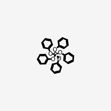 c1ccc(OP(Oc2ccccc2)(Oc2ccccc2)(Oc2ccccc2)Oc2ccccc2)cc1